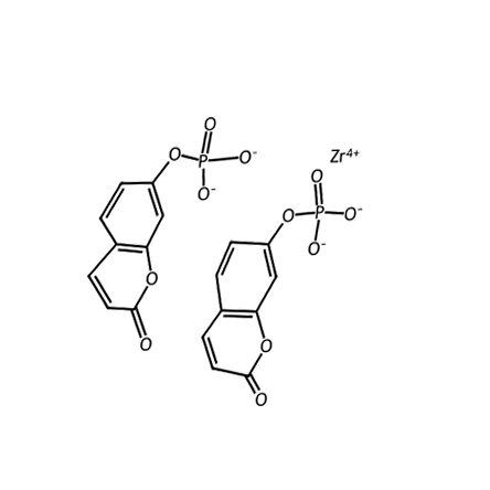 O=c1ccc2ccc(OP(=O)([O-])[O-])cc2o1.O=c1ccc2ccc(OP(=O)([O-])[O-])cc2o1.[Zr+4]